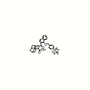 O=C(NC(C(=O)O)C12CC3CC(CC(C3)C1)C2)c1ccc2ccccc2c1OCc1ccc(S(=O)(=O)C(F)(F)F)cc1